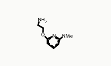 CNc1cccc(OCCN)n1